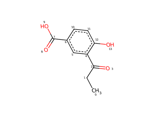 CCC(=O)c1cc(C(=O)O)ccc1O